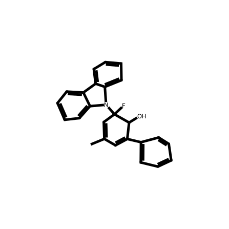 CC1=CC(F)(n2c3ccccc3c3ccccc32)C(O)C(c2ccccc2)=C1